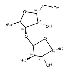 CC[C@H]1OC(O[C@H]2C(C(C)(C)C)O[C@H](CO)[C@@H]2O)[C@H](O)[C@H]1O